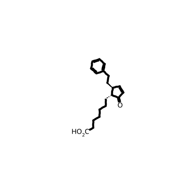 O=C(O)CCCCCC[C@H]1C(=O)C=C[C@@H]1CCc1ccccc1